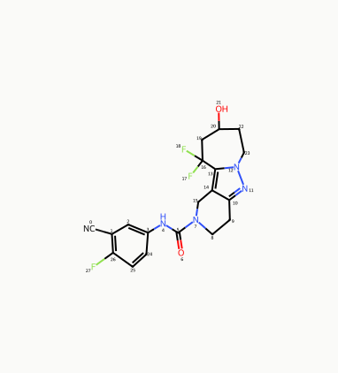 N#Cc1cc(NC(=O)N2CCc3nn4c(c3C2)C(F)(F)CC(O)CC4)ccc1F